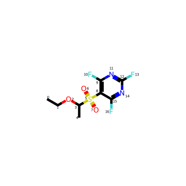 CCOC(C)S(=O)(=O)c1c(F)nc(F)nc1F